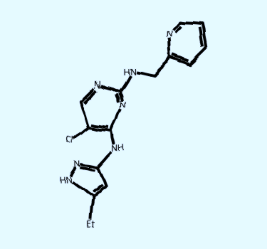 CCc1cc(Nc2nc(NCc3ccccn3)ncc2Cl)n[nH]1